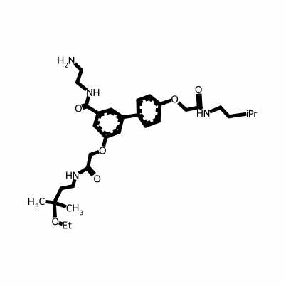 CCOC(C)(C)CCNC(=O)COc1cc(C(=O)NCCN)cc(-c2ccc(OCC(=O)NCCC(C)C)cc2)c1